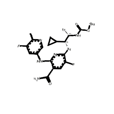 CC[C@H](NC(=O)OC(C)(C)C)[C@H](Nc1nc(Nc2cnc(C)c(F)c2)c(C(N)=O)cc1F)C1CC1